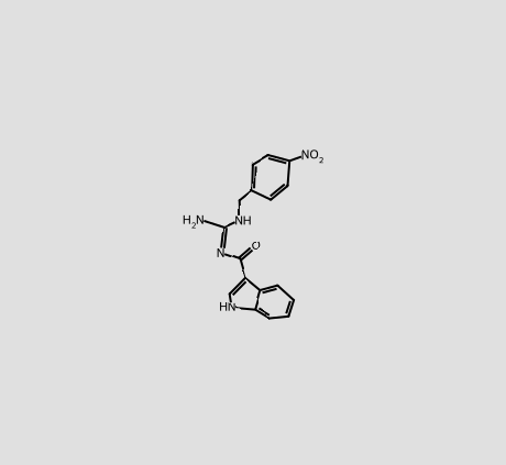 NC(=NC(=O)c1c[nH]c2ccccc12)NCc1ccc([N+](=O)[O-])cc1